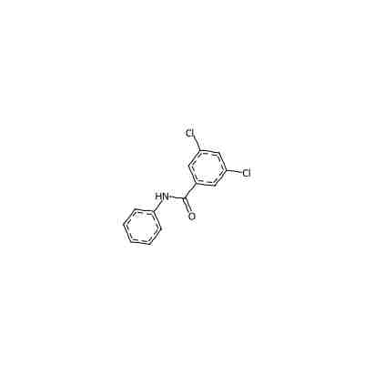 O=C(Nc1ccccc1)c1cc(Cl)cc(Cl)c1